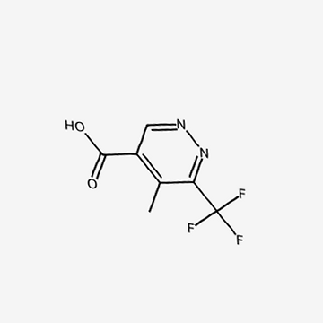 Cc1c(C(=O)O)cnnc1C(F)(F)F